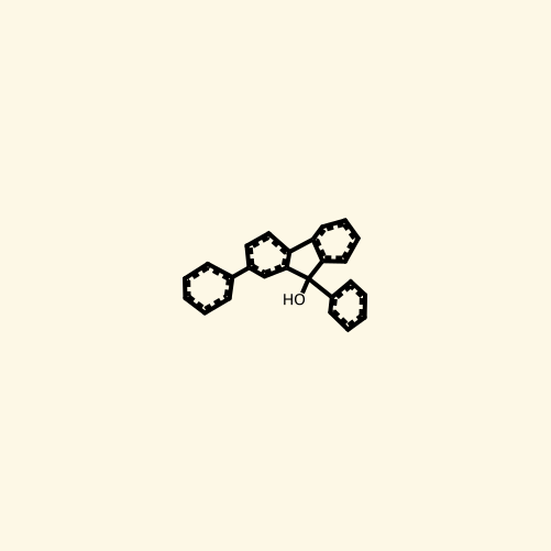 OC1(c2ccccc2)c2ccccc2-c2ccc(-c3ccccc3)cc21